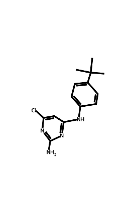 CC(C)(C)c1ccc(Nc2cc(Cl)nc(N)n2)cc1